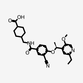 CCc1cc([C@H](C)Oc2ccc(C(=O)NCC3CCC(C(=O)O)CC3)cc2C#N)c(OC)cn1